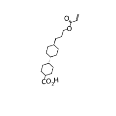 C=CC(=O)OCCC[C@H]1CC[C@H](C2CCC(C(=O)O)CC2)CC1